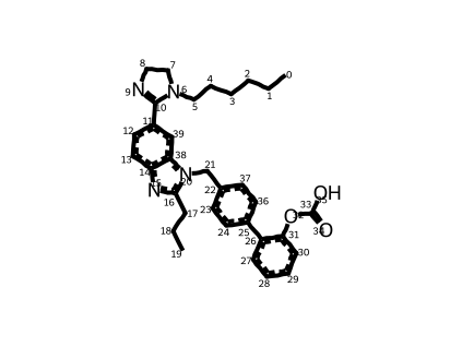 CCCCCCN1CCN=C1c1ccc2nc(CCC)n(Cc3ccc(-c4ccccc4OC(=O)O)cc3)c2c1